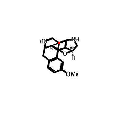 COc1ccc2c(c1)C13CCNC(C2)[C@@]12CCC1NC[C@@H](O2)C13